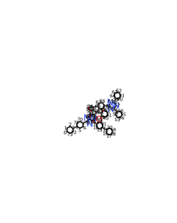 c1ccc(-c2ccc(-c3nc(-c4ccc(-c5ccccc5)cc4)nc(-c4cccc5c4C4(c6ccccc6Oc6ccccc64)c4cc(-c6nc(-c7ccccc7)nc(-c7ccccc7)n6)ccc4-5)n3)cc2)cc1